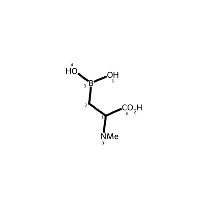 CNC(CB(O)O)C(=O)O